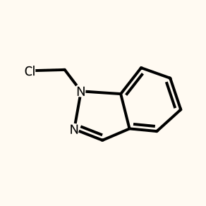 ClCn1ncc2ccccc21